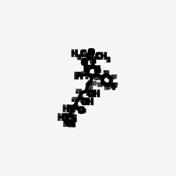 CC(C)c1nc(N(C)S(C)(=O)=O)nc(-c2ccc(F)cc2)c1/C=C/[C@H](O)C[C@@H](O)CC(=O)Nc1nnn[nH]1